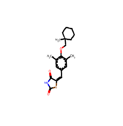 Cc1cc(/C=C2/SC(=O)NC2=O)cc(C)c1OCC1(C)CCCCC1